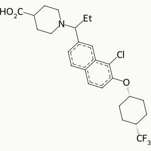 CCC(c1ccc2ccc(O[C@H]3CC[C@@H](C(F)(F)F)CC3)c(Cl)c2c1)N1CCC(C(=O)O)CC1